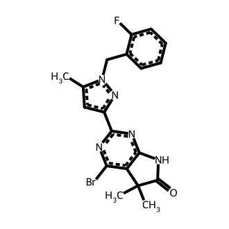 Cc1cc(-c2nc(Br)c3c(n2)NC(=O)C3(C)C)nn1Cc1ccccc1F